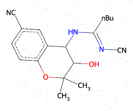 CCCCC(=NC#N)NC1c2cc(C#N)ccc2OC(C)(C)C1O